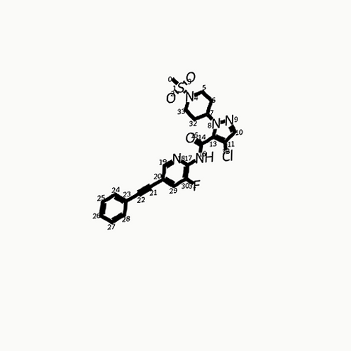 CS(=O)(=O)N1CCC(n2ncc(Cl)c2C(=O)Nc2ncc(C#Cc3ccccc3)cc2F)CC1